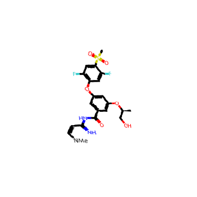 CN/C=C\C(=N)NC(=O)c1cc(Oc2cc(F)c(S(C)(=O)=O)cc2F)cc(O[C@@H](C)CO)c1